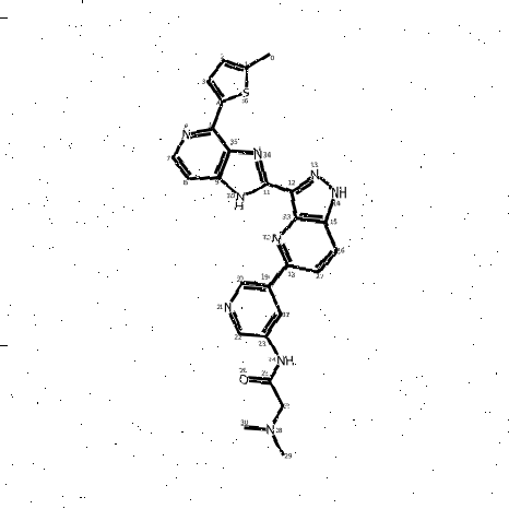 Cc1ccc(-c2nccc3[nH]c(-c4n[nH]c5ccc(-c6cncc(NC(=O)CN(C)C)c6)nc45)nc23)s1